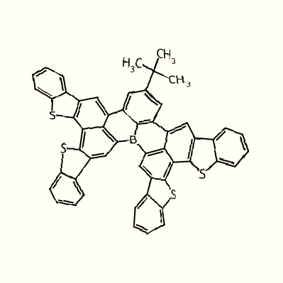 CC(C)(C)c1cc2c3c(c1)-c1cc4c5ccccc5sc4c4c1c(cc1c5ccccc5sc14)B3c1cc3c4ccccc4sc3c3c1c-2cc1c2ccccc2sc13